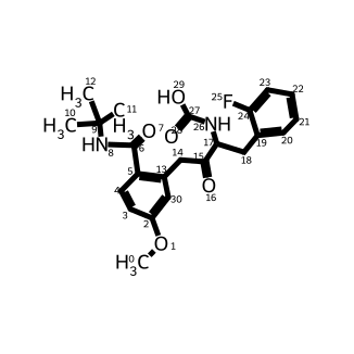 COc1ccc(C(=O)NC(C)(C)C)c(CC(=O)C(Cc2ccccc2F)NC(=O)O)c1